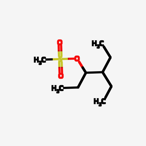 CCC(CC)C(CC)OS(C)(=O)=O